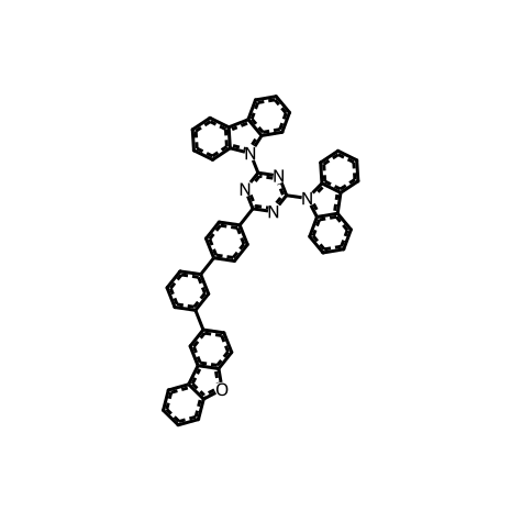 c1cc(-c2ccc(-c3nc(-n4c5ccccc5c5ccccc54)nc(-n4c5ccccc5c5ccccc54)n3)cc2)cc(-c2ccc3oc4ccccc4c3c2)c1